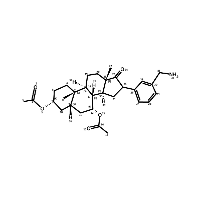 CC(=O)O[C@@H]1CC[C@@]2(C)[C@@H](C1)C[C@@H](OC(C)=O)[C@@H]1[C@@H]2CC[C@]2(C)C(=O)C(c3cccc(CN)c3)C[C@@H]12